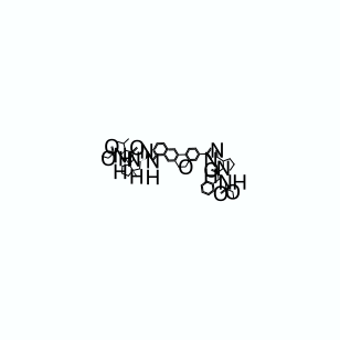 COC(=O)N[C@H](C(=O)N1[C@H](c2nc3ccc4cc5c(cc4c3[nH]2)COc2cc(-c3cnc(C4CCCN4C(=O)[C@H](NC(=O)OC)c4ccccc4)[nH]3)ccc2-5)C[C@@H]2CCC[C@@H]21)C(C)C